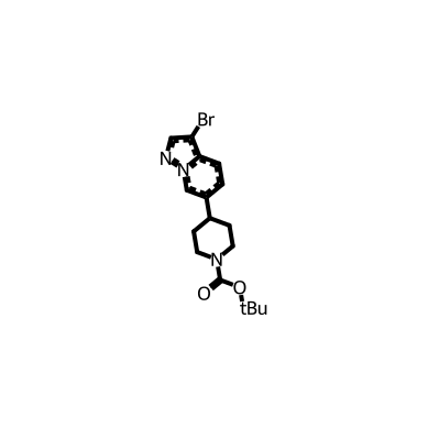 CC(C)(C)OC(=O)N1CCC(c2ccc3c(Br)cnn3c2)CC1